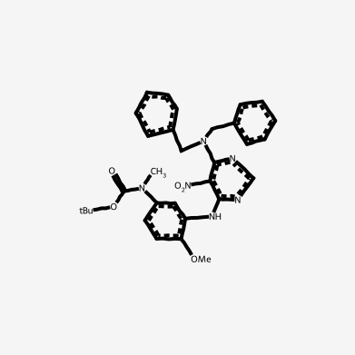 COc1ccc(N(C)C(=O)OC(C)(C)C)cc1Nc1ncnc(N(Cc2ccccc2)Cc2ccccc2)c1[N+](=O)[O-]